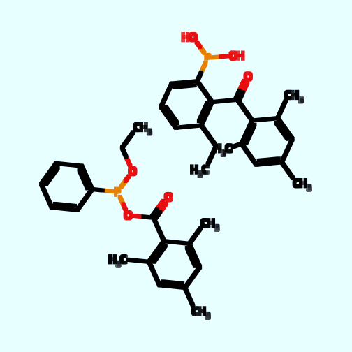 CCOP(OC(=O)c1c(C)cc(C)cc1C)c1ccccc1.CCc1cccc(P(O)O)c1C(=O)c1c(C)cc(C)cc1C